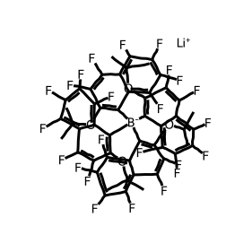 CC(C)Oc1c(F)c(F)c2c(F)c(F)c(F)c(F)c2c1[B-](c1c(OC(C)C)c(F)c(F)c2c(F)c(F)c(F)c(F)c12)(c1c(OC(C)C)c(F)c(F)c2c(F)c(F)c(F)c(F)c12)c1c(OC(C)C)c(F)c(F)c2c(F)c(F)c(F)c(F)c12.[Li+]